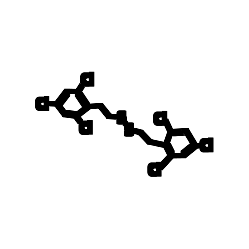 Clc1cc(Cl)c(CCSSCCc2c(Cl)cc(Cl)cc2Cl)c(Cl)c1